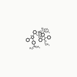 CCO/C(=C(\c1ccccc1)c1cc(C(C)(C)C)c(O)c(C(C)(C)Cc2ccccc2-c2cc(-c3ccc(N(C)C)cc3)c(-c3ccccc3)s2)c1)c1ccccc1